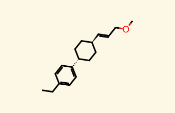 CCc1ccc([C@H]2CC[C@H](/C=C/COC)CC2)cc1